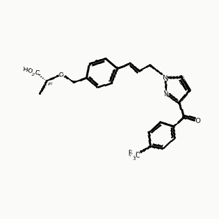 C[C@@H](OCc1ccc(C=CCn2ccc(C(=O)c3ccc(C(F)(F)F)cc3)n2)cc1)C(=O)O